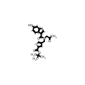 CC(=O)CN(Cc1csc(C(=O)OC(C)(C)C)c1)C(=O)c1csc2cc(O)ccc12